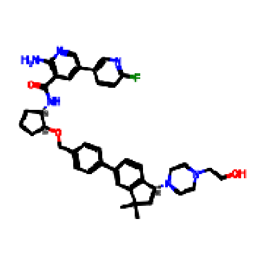 CC1(C)C[C@@H](N2CCN(CCO)CC2)c2ccc(-c3ccc(CO[C@H]4CCC[C@@H]4NC(=O)c4cc(-c5ccc(F)nc5)cnc4N)cc3)cc21